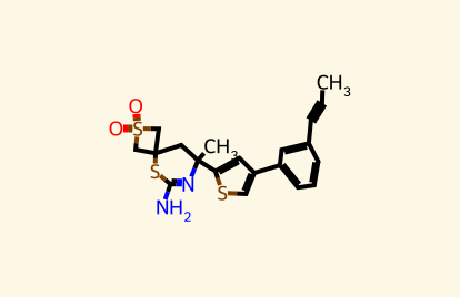 CC#Cc1cccc(-c2csc(C3(C)CC4(CS(=O)(=O)C4)SC(N)=N3)c2)c1